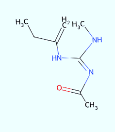 C=C(CC)N/C(=N\C(C)=O)NC